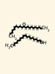 CCCCC/C=C\CCCC(=O)CCCCCCCCCC.CCCCCCCC/C=C\CCCCCCCCO